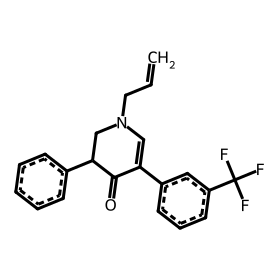 C=CCN1C=C(c2cccc(C(F)(F)F)c2)C(=O)C(c2ccccc2)C1